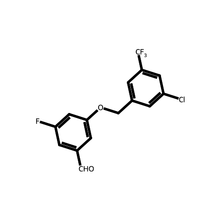 O=Cc1cc(F)cc(OCc2cc(Cl)cc(C(F)(F)F)c2)c1